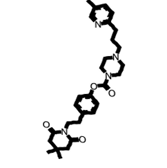 Cc1ccc(CCCN2CCN(C(=O)Oc3ccc(CCN4C(=O)CC(C)(C)CC4=O)cc3)CC2)nc1